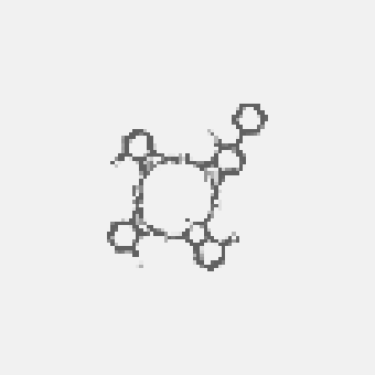 S=C1C=CC=C2C3=NC(=C12)/N=c1\[nH]c(c2c1=CC=C(c1ccccc1)C2=S)N=c1[nH]c(c2c1=CC=CC2=S)/N=c1\[nH]/c(c2c1C=CCC2=S)=N\3